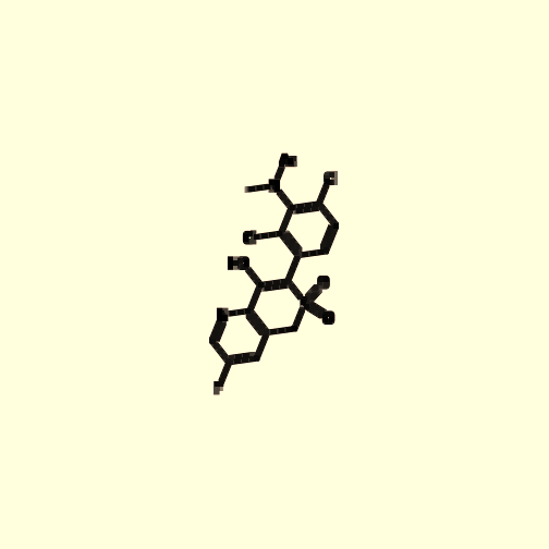 CC(=O)N(C)c1c(Cl)ccc(C2=C(O)c3ncc(F)cc3CS2(=O)=O)c1Cl